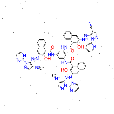 [C-]#[N+]c1cnn(-c2ncccn2)c1/N=N/c1cc2ccccc2c(C(=O)Nc2cc(NC(=O)c3c(O)c(/N=N/c4c(C#N)cnn4-c4ccccn4)cc4ccccc34)cc(NC(=O)c3c(O)c(/N=N/c4c([N+]#[C-])cnn4-c4ncccn4)cc4ccccc34)c2)c1O